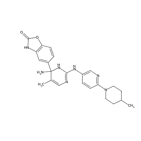 CC1=CN=C(Nc2ccc(N3CCC(C)CC3)nc2)NC1(N)c1ccc2oc(=O)[nH]c2c1